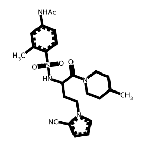 CC(=O)Nc1ccc(S(=O)(=O)NC(CCn2cccc2C#N)C(=O)N2CCC(C)CC2)c(C)c1